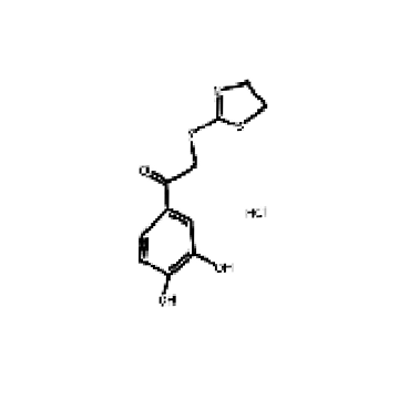 Cl.O=C(CSC1=NCCS1)c1ccc(O)c(O)c1